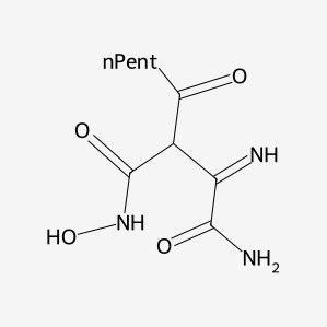 CCCCCC(=O)C(C(=N)C(N)=O)C(=O)NO